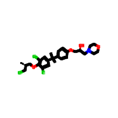 C[C@@H](CCl)COc1c(Cl)cc(C(C)(C)c2ccc(OC[C@H](O)CN3CCOCC3)cc2)cc1Cl